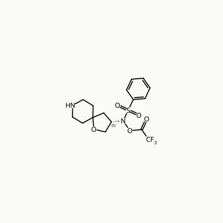 O=C(ON([C@@H]1COC2(CCNCC2)C1)S(=O)(=O)c1ccccc1)C(F)(F)F